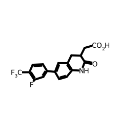 O=C(O)CC1Cc2cc(-c3ccc(C(F)(F)F)c(F)c3)ccc2NC1=O